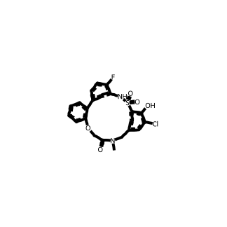 CN1Cc2cc(Cl)c(O)c(c2)S(=O)(=O)Nc2cc(ccc2F)-c2ccccc2OCC1=O